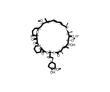 CO[C@H]1C[C@@H]2CC[C@@H](C)[C@@](O)(O2)C(=O)C(=O)N2CCCC[C@H]2C(=O)O[C@H]([C@H](C)C[C@@H]2CC[C@@H](O)[C@H](OC)C2)CC(=O)[C@H](C)/C=C(\C)[C@@H](O)[C@@H](OC)C(=O)[C@H](C)C[C@H](C)/C=C/C=C/C=C/1C.[H+]